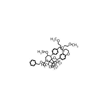 COCCCN1CCOc2ccc(CO[C@]3(C(C)C)[C@H](c4ccc(COCCOC)cc4)[C@H](O[SiH3])CN(C(=O)OCc4ccccc4)C3(C(C)C)C(C)C)cc21